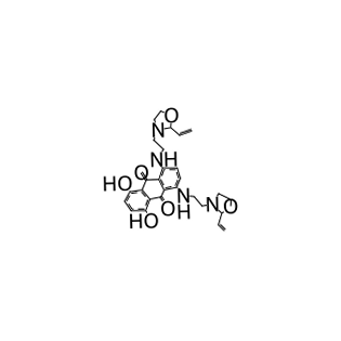 C=CC1OCCN1CCNc1ccc(NCCN2CCOC2C=C)c2c1C(=O)c1c(O)ccc(O)c1C2=O